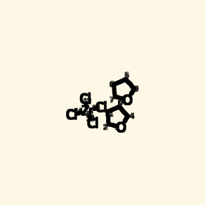 C1CCOC1.C1CCOC1.[Cl][Zr]([Cl])([Cl])[Cl]